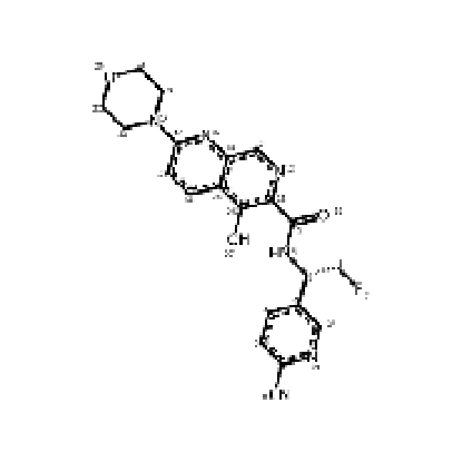 N#Cc1ccc([C@@H](CF)NC(=O)c2ncc3nc(N4CCOCC4)ccc3c2O)cn1